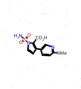 CNc1ccc(-c2ccn(S(N)(=O)=O)c2C(=O)O)cn1